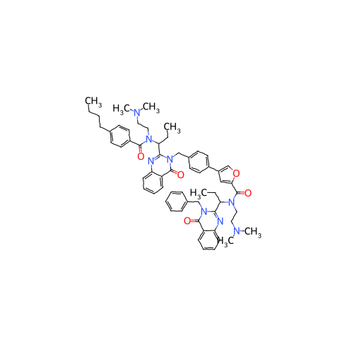 CCCCc1ccc(C(=O)N(CCN(C)C)C(CC)c2nc3ccccc3c(=O)n2Cc2ccc(-c3coc(C(=O)N(CCN(C)C)C(CC)c4nc5ccccc5c(=O)n4Cc4ccccc4)c3)cc2)cc1